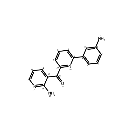 Nc1cccc(-c2cccc(C(=O)c3cccnc3N)n2)c1